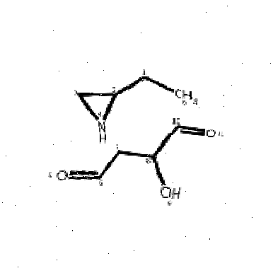 CCC1CN1.O=CCC(O)C=O